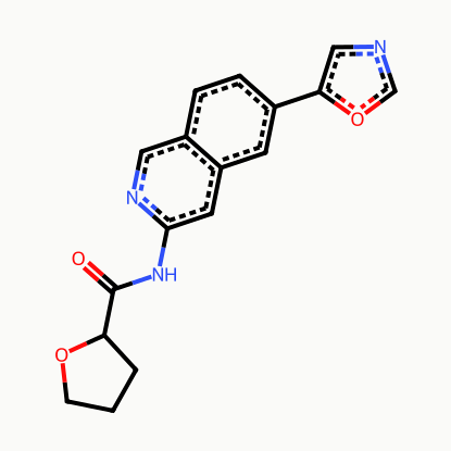 O=C(Nc1cc2cc(-c3cnco3)ccc2cn1)C1CCCO1